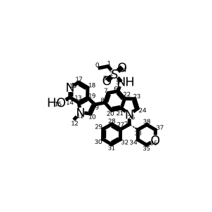 CCS(=O)(=O)Nc1cc(-c2cn(C)c3c(O)nccc23)cc2c1ccn2[C@@H](c1ccccc1)C1CCOCC1